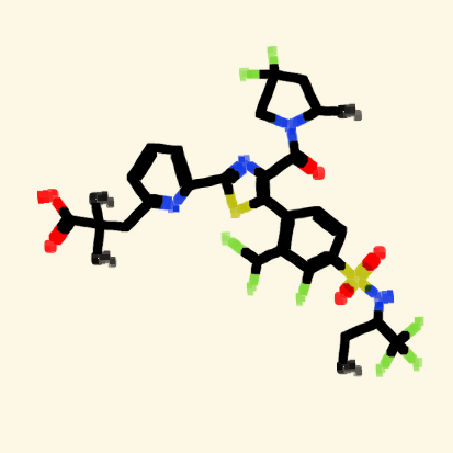 CCC(NS(=O)(=O)c1ccc(-c2sc(-c3cccc(CC(C)(C)C(=O)O)n3)nc2C(=O)N2CC(F)(F)CC2C)c(C(F)F)c1F)C(F)(F)F